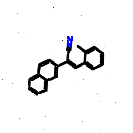 Cc1ccccc1C=C(C#N)c1ccc2ccccc2c1